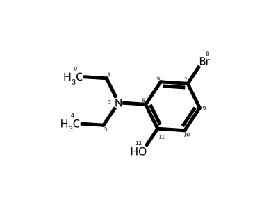 CCN(CC)c1cc(Br)ccc1O